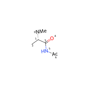 CN[C@@H](C)C(=O)NC(C)=O